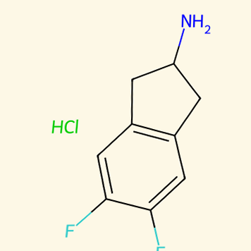 Cl.NC1Cc2cc(F)c(F)cc2C1